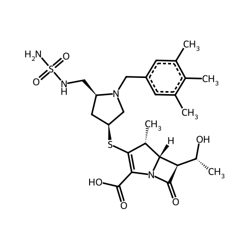 Cc1cc(CN2C[C@@H](SC3=C(C(=O)O)N4C(=O)[C@H]([C@@H](C)O)[C@H]4[C@H]3C)C[C@H]2CNS(N)(=O)=O)cc(C)c1C